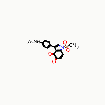 CC(=O)Nc1ccc(-c2cn(S(C)(=O)=O)c3c2C(=O)C(=O)C=C3)cc1